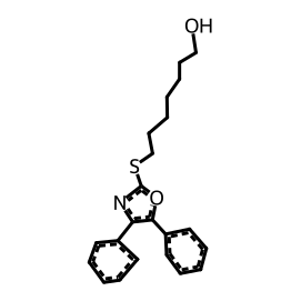 OCCCCCCCSc1nc(-c2ccccc2)c(-c2ccccc2)o1